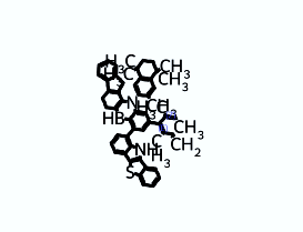 C=C/C(C)=C(\C(C)=C/C)c1cc(-c2cccc3c2[nH]c2c4ccccc4sc32)c2c(c1)N(c1cc3c(cc1C)C(C)(C)CCC3(C)C)C1=C(B2)CCC2=C1Cc1ccccc12